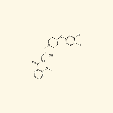 COc1ccccc1C(=O)NC[C@@H](O)CN1CCC(Oc2ccc(Cl)c(Cl)c2)CC1